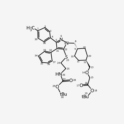 Cc1ccc(-c2nn(C[C@H]3CC[C@H](COCC(=O)OC(C)(C)C)CC3)c(SCCNC(=O)OC(C)(C)C)c2-c2ccccc2)cc1